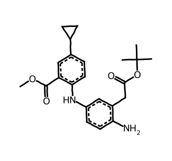 COC(=O)c1cc(C2CC2)ccc1Nc1ccc(N)c(CC(=O)OC(C)(C)C)c1